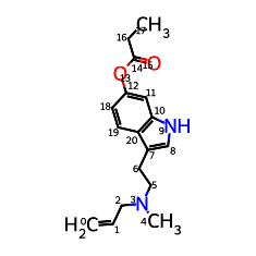 C=CCN(C)CCc1c[nH]c2cc(OC(=O)CC)ccc12